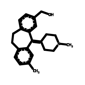 Cc1ccc2c(c1)C(=C1CCN(C)CC1)c1cc(CO)ccc1CC2